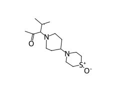 C[C](C)C(C(C)=O)N1CCC(N2CC[S+]([O-])CC2)CC1